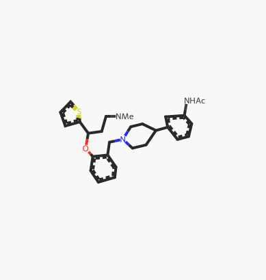 CNCCC(Oc1ccccc1CN1CCC(c2cccc(NC(C)=O)c2)CC1)c1cccs1